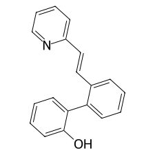 Oc1ccccc1-c1ccccc1/C=C/c1ccccn1